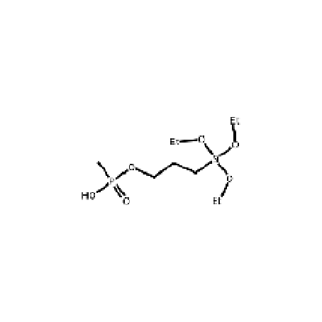 CCO[Si](CCCOP(C)(=O)O)(OCC)OCC